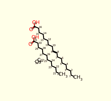 CCCCCCCCC=CCCCCCCCC(=O)O.CCCCCCCCCCCC(=O)O.[Cu].[Cu]